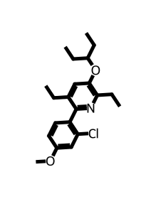 CCc1cc(OC(CC)CC)c(CC)nc1-c1ccc(OC)cc1Cl